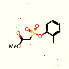 COC(=O)CS(=O)(=O)Oc1ccccc1C